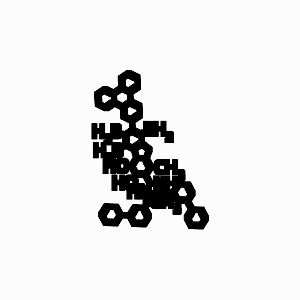 Bc1c(B)c2c(c(B)c1-c1ccc3c4ccccc4c4ccccc4c3c1)CC1=C(C)C(C(NC(=N)C3C=C(c4ccccc4)C=CC3)NC(C)c3cccc(C4C=CC=CC4)c3)=C(O)C(O)C12